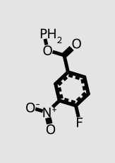 O=C(OP)c1ccc(F)c([N+](=O)[O-])c1